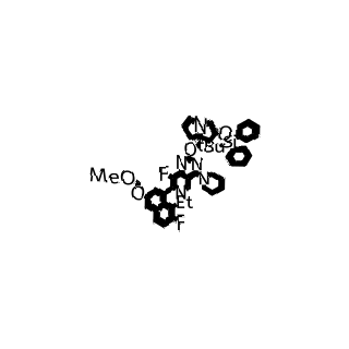 CCc1c(F)ccc2cc(OCOC)cc(-c3ncc4c(N5CCCCC5)nc(OC[C@@]56CCCN5C[C@H](O[Si](c5ccccc5)(c5ccccc5)C(C)(C)C)C6)nc4c3F)c12